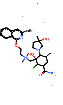 CCCCc1cc2ccccc2c(OCC[N+](C)(C)C[C@@]2(O)C(Cl)C(C(N)=O)C[C@H](C)C2N2CCC(C)(O)C2)n1